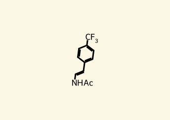 CC(=O)N/C=C/c1ccc(C(F)(F)F)cc1